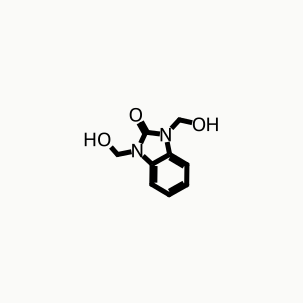 O=c1n(CO)c2ccccc2n1CO